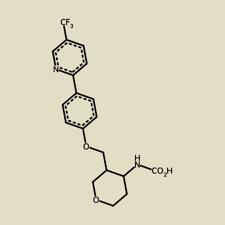 O=C(O)NC1CCOCC1COc1ccc(-c2ccc(C(F)(F)F)cn2)cc1